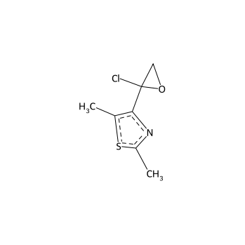 Cc1nc(C2(Cl)CO2)c(C)s1